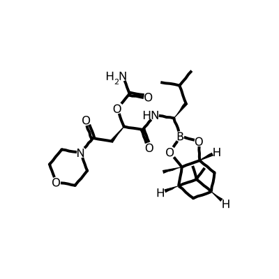 CC(C)C[C@H](NC(=O)[C@@H](CC(=O)N1CCOCC1)OC(N)=O)B1O[C@@H]2C[C@@H]3C[C@@H](C3(C)C)[C@]2(C)O1